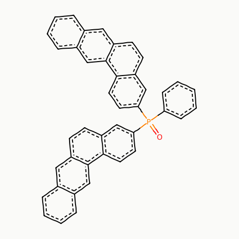 O=P(c1ccccc1)(c1ccc2c(ccc3cc4ccccc4cc32)c1)c1ccc2c(ccc3cc4ccccc4cc32)c1